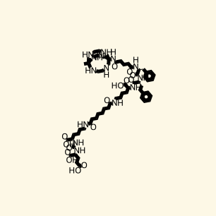 CC12CNCCNCC(NC(=O)CCCC(=O)N[C@H](Cc3ccccc3)C(=O)N[C@H](CCc3ccccc3)C(=O)NC(CCCCNC(=O)CCCCCCC(=O)NCCCCC(NC(=O)NC(CCC(=O)O)C(=O)O)C(=O)O)C(=O)O)(CNCCNC1)CNCCNC2